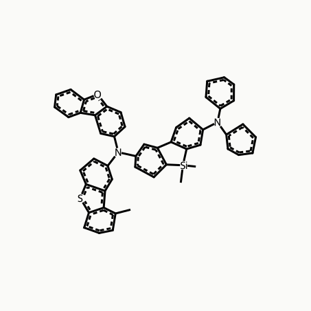 Cc1cccc2sc3ccc(N(c4ccc5c(c4)-c4ccc(N(c6ccccc6)c6ccccc6)cc4[Si]5(C)C)c4ccc5oc6ccccc6c5c4)cc3c12